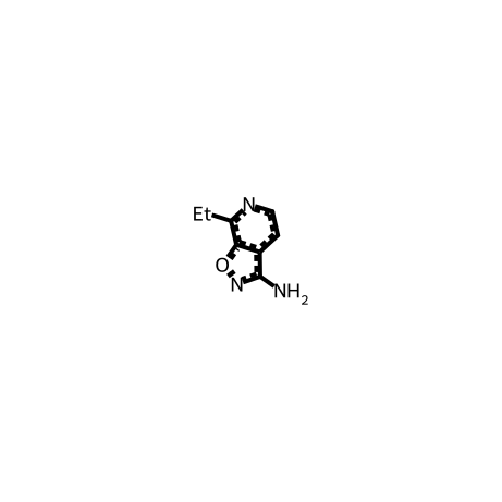 CCc1nccc2c(N)noc12